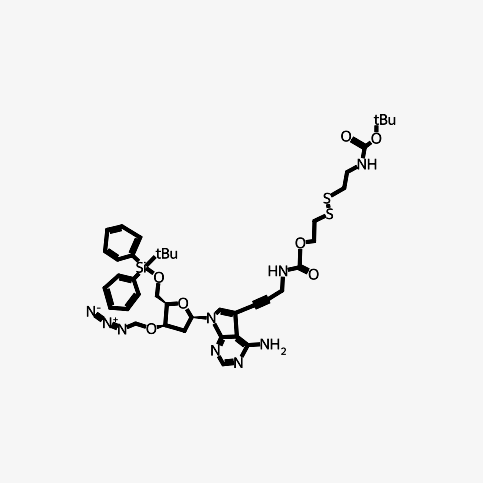 CC(C)(C)OC(=O)NCCSSCCOC(=O)NCC#Cc1cn([C@H]2C[C@@H](OCN=[N+]=[N-])[C@@H](CO[Si](c3ccccc3)(c3ccccc3)C(C)(C)C)O2)c2ncnc(N)c12